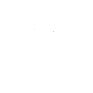 CC(C)Cc1c[nH]c2ccc(I)cc12